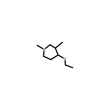 CCOC1CCN(C)CC1C